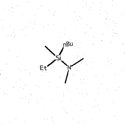 CCCC[Si](C)(CC)N(C)C